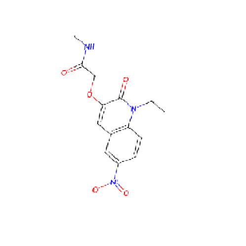 CCn1c(=O)c(OCC(=O)NC)cc2cc([N+](=O)[O-])ccc21